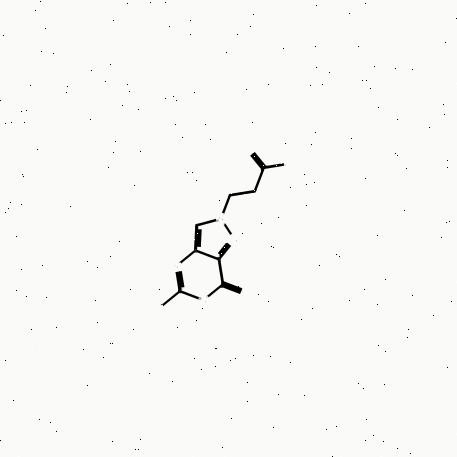 CC(=O)CCn1cc2nc(Cl)[nH]c(=O)c2n1